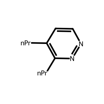 CCCc1ccnnc1CCC